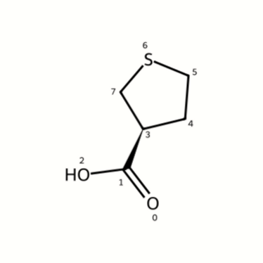 O=C(O)[C@@H]1CCSC1